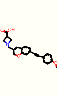 COc1ccc(C#Cc2ccc3c(c2)OCC(CN2CC(C(=O)O)C2)=C3)cc1